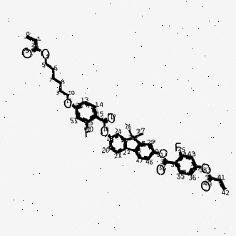 C=CC(=O)OCCCCCCOc1ccc(C(=O)Oc2ccc3c(c2)C(C)(C)c2cc(OC(=O)c4ccc(OC(=O)C=C)cc4F)ccc2-3)c(F)c1